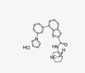 Cl.O=C(N[C@H]1CN2CCC1CC2)c1cc2cccc(-c3cccc(-n4cccc4)c3)c2s1